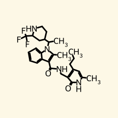 CCCc1cc(C)[nH]c(=O)c1CNC(=O)c1c(C)n(C(C)C2CCNC(C(F)(F)F)C2)c2ccccc12